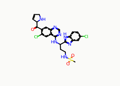 CS(=O)(=O)NCCC(Nc1ncnc2cc(C(=O)C3C=CCN3)c(Cl)cc12)c1nc2cc(Cl)ccc2[nH]1